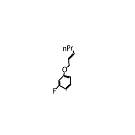 CCC/C=C/COc1cc[c]c(F)c1